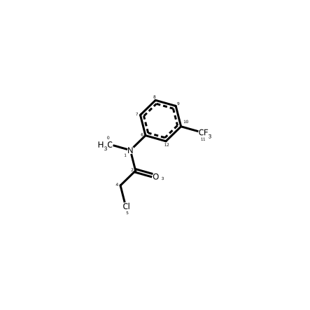 CN(C(=O)CCl)c1cccc(C(F)(F)F)c1